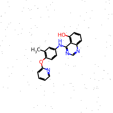 Cc1cc(Nc2ncnc3cccc(O)c23)ccc1Oc1ccccn1